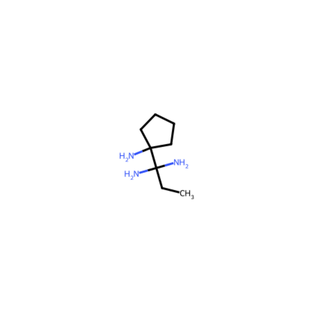 CCC(N)(N)C1(N)CCCC1